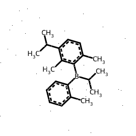 Cc1ccccc1B(c1c(C)ccc(C(C)C)c1C)C(C)C